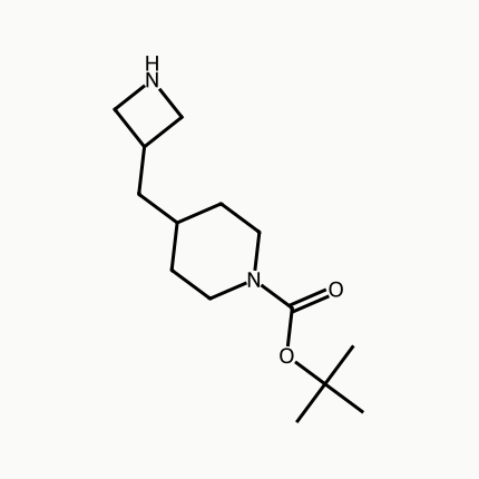 CC(C)(C)OC(=O)N1CCC(CC2CNC2)CC1